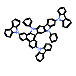 c1ccc(-n2c3cc(-n4c5ccccc5c5ccccc54)ccc3c3cc4c(cc32)c2c3cc(-n5c6ccccc6c6ccccc65)ccc3c3ccc(-n5c6ccccc6c6ccccc65)cc3c2n4-c2ccccc2)cc1